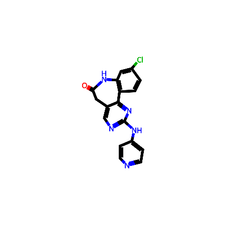 O=C1Cc2cnc(Nc3ccncc3)nc2-c2ccc(Cl)cc2N1